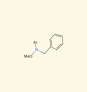 CON(Cc1ccccc1)C(C)=O